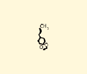 CC=CCC1CCC2(CC1)OCCO2